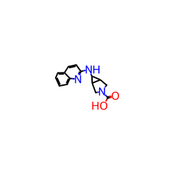 O=C(O)N1CC2C(C1)C2Nc1ccc2ccccc2n1